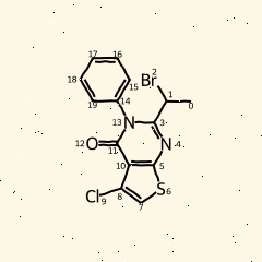 CC(Br)c1nc2scc(Cl)c2c(=O)n1-c1ccccc1